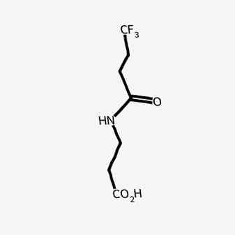 O=C(O)CCNC(=O)CCC(F)(F)F